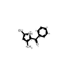 C[CH]c1cc(C)c(C(=O)c2ccccc2)[nH]1